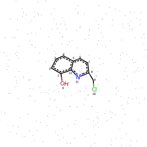 Oc1cccc2ccc(CCl)nc12